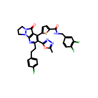 Cc1nnc(-c2c(CCc3ccc(F)cc3)nc3c(c2-c2ccc(C(=O)NCc4ccc(F)c(F)c4)s2)c(=O)n2n3CCC2)o1